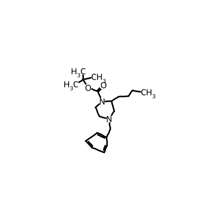 CCCCC1CN(Cc2ccccc2)CCN1C(=O)OC(C)(C)C